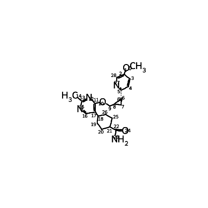 COc1ccc([C@@H]2CC2COc2nc(C)ncc2C2CCC(C(N)=O)CC2)nc1